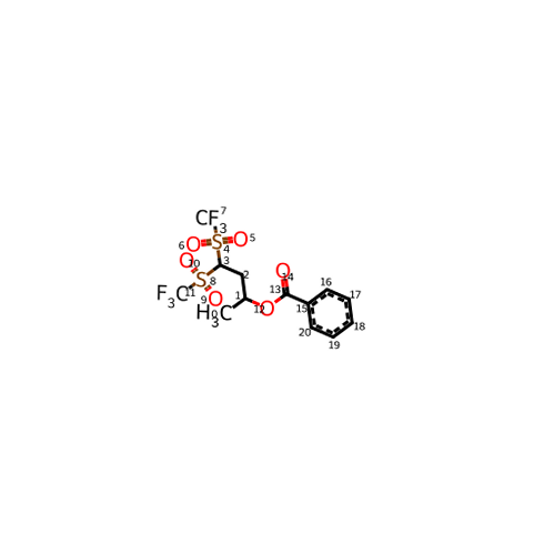 CC(CC(S(=O)(=O)C(F)(F)F)S(=O)(=O)C(F)(F)F)OC(=O)c1ccccc1